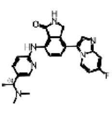 C[C@@H](c1ccc(Nc2ccc(-c3cnc4cc(F)ccn34)c3c2C(=O)NC3)nc1)N(C)C